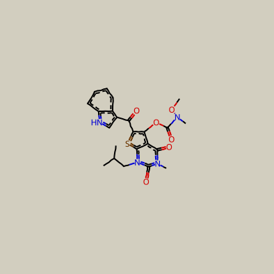 CON(C)C(=O)Oc1c(C(=O)c2c[nH]c3ccccc23)sc2c1c(=O)n(C)c(=O)n2CC(C)C